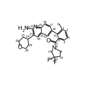 Cc1cccc(C(=O)N2CCC(F)(F)C2)c1-c1ccc2nc(N)c(C3CCOCC3)cc2c1